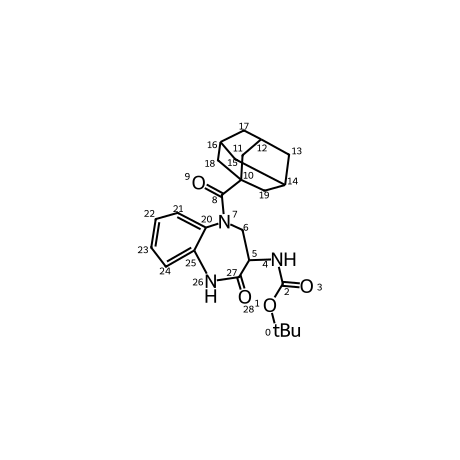 CC(C)(C)OC(=O)NC1CN(C(=O)C23CC4CC(CC(C4)C2)C3)c2ccccc2NC1=O